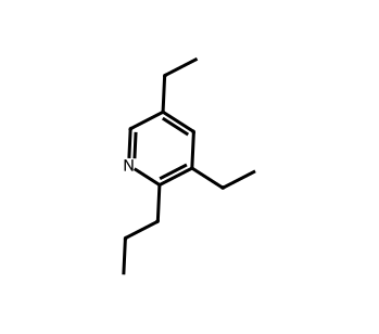 CCCc1ncc(CC)cc1CC